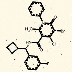 Cc1c(C(=O)N[C@H](c2cccc(F)c2)C2CCC2)c(C)n(-c2ccccc2)c(=O)c1Br